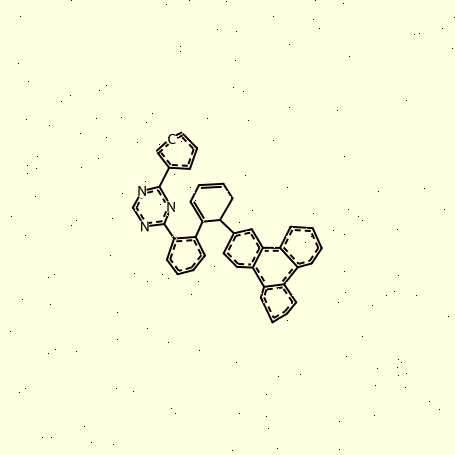 C1=CCC(c2ccc3c4ccccc4c4ccccc4c3c2)C(c2ccccc2-c2ncnc(-c3ccccc3)n2)=C1